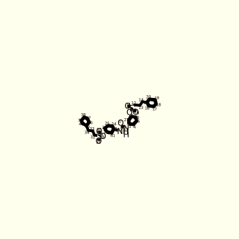 O=C(Nc1cccc(OS(=O)(=O)CCCc2ccccc2)c1)Nc1cccc(OS(=O)(=O)CCCc2ccccc2)c1